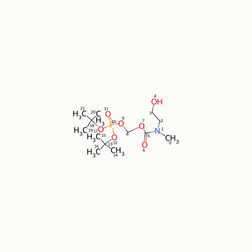 CN(CCO)C(=O)OCOP(=O)(OC(C)(C)C)OC(C)(C)C